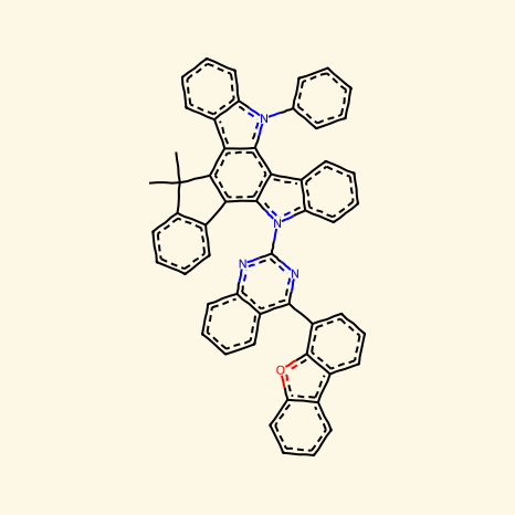 CC1(C)c2ccccc2-c2c1c1c3ccccc3n(-c3ccccc3)c1c1c3ccccc3n(-c3nc(-c4cccc5c4oc4ccccc45)c4ccccc4n3)c21